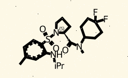 Cc1ccc(S(=O)(=O)N2CCC[C@H]2C(=O)N(C)C2CCC(F)(F)CC2)c(NC(C)C)c1